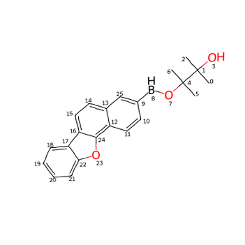 CC(C)(O)C(C)(C)OBc1ccc2c(ccc3c4ccccc4oc23)c1